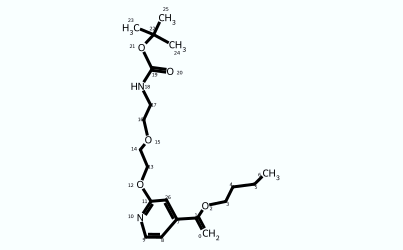 C=C(OCCCC)c1ccnc(OCCOCCNC(=O)OC(C)(C)C)c1